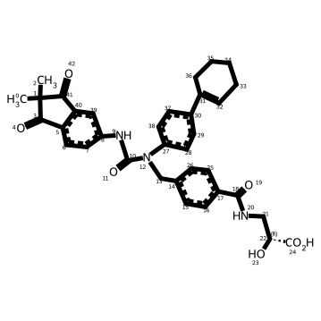 CC1(C)C(=O)c2ccc(NC(=O)N(Cc3ccc(C(=O)NC[C@@H](O)C(=O)O)cc3)c3ccc(C4=CCCCC4)cc3)cc2C1=O